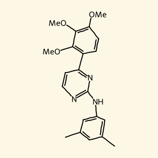 COc1ccc(-c2ccnc(Nc3cc(C)cc(C)c3)n2)c(OC)c1OC